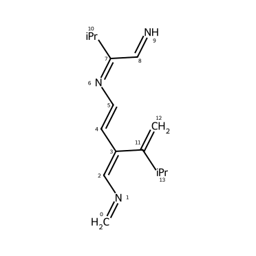 C=N/C=C(/C=C/N=C(\C=N)C(C)C)C(=C)C(C)C